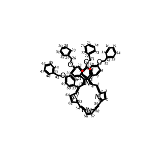 C1=Cc2cc3c(-c4ccc(OCc5ccccc5)cc4)c(-c4ccc(OCc5ccccc5)cc4)c(c(-c4ccc(OCc5ccccc5)cc4)c4nc(cc5ccc(cc1n2)[nH]5)C=C4)n3-c1ccc(OCc2ccccc2)cc1